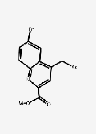 COC(=O)c1cc(CC(C)=O)c2cc(Br)ccc2n1